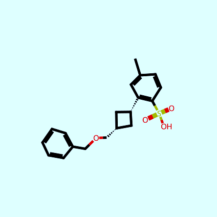 Cc1ccc(S(=O)(=O)O)c([C@H]2C[C@@H](COCc3ccccc3)C2)c1